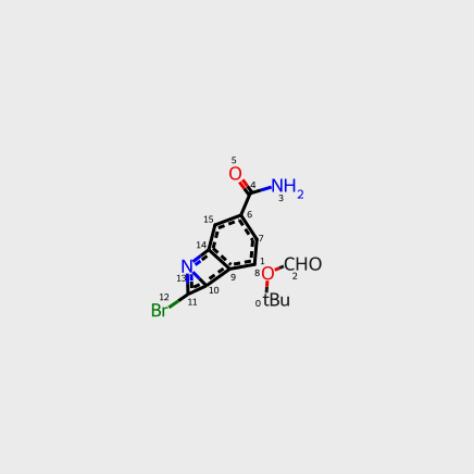 CC(C)(C)OC=O.NC(=O)c1ccc2c3c(Br)n-3c2c1